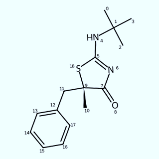 CC(C)(C)NC1=NC(=O)[C@](C)(Cc2ccccc2)S1